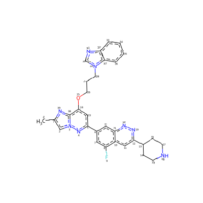 Cc1cn2nc(-c3cc(F)c4cc(C5CCNCC5)nnc4c3)cc(OCCCn3cnc4ccccc43)c2n1